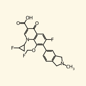 CN1Cc2ccc(-c3c(F)cc4c(=O)c(C(=O)O)cn(C5CC5F)c4c3OCF)cc2C1